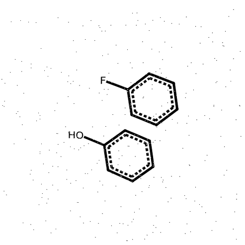 Fc1ccccc1.Oc1ccccc1